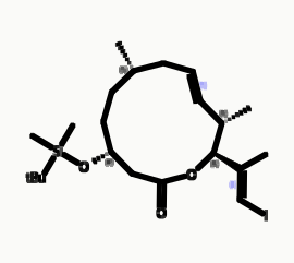 C/C(=C\I)[C@H]1OC(=O)C[C@H](O[Si](C)(C)C(C)(C)C)CC[C@H](C)C/C=C/[C@@H]1C